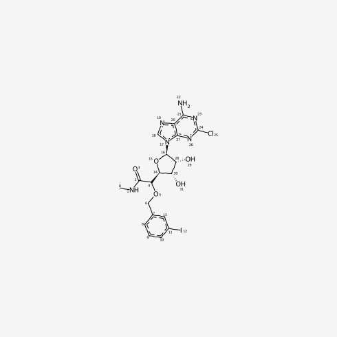 CNC(=O)C(OCc1cccc(I)c1)[C@H]1O[C@@H](n2cnc3c(N)nc(Cl)nc32)[C@H](O)[C@@H]1O